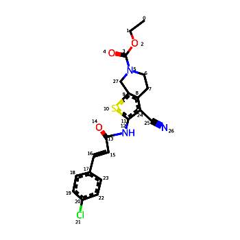 CCOC(=O)N1CCc2c(sc(NC(=O)C=Cc3ccc(Cl)cc3)c2C#N)C1